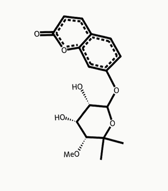 CO[C@@H]1[C@H](O)[C@H](O)C(Oc2ccc3ccc(=O)oc3c2)OC1(C)C